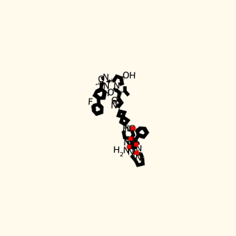 CC(C)[C@@H](C(=O)N1C[C@H](O)C[C@H]1C1=NO[C@](C)(c2ccc(-c3ccccc3F)cc2)N1)c1cc([C@H]2CC3(C2)C[C@H](N2CCC(c4cnc(N5C6CCC5CN(c5cc(-c7ccccc7O)nnc5N)C6)nc4)CC2)C3)no1